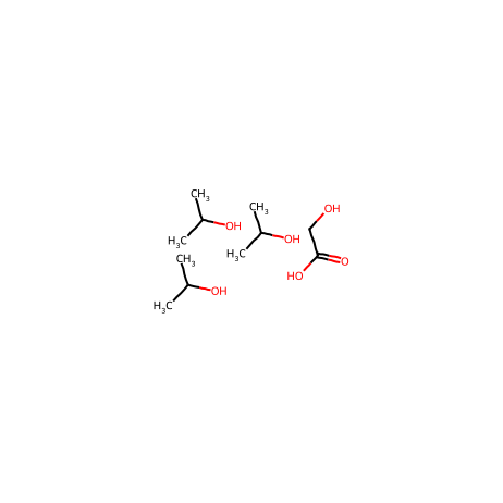 CC(C)O.CC(C)O.CC(C)O.O=C(O)CO